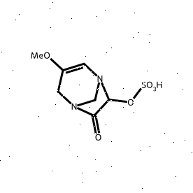 COC1=CN2CN(C1)C(=O)C2OS(=O)(=O)O